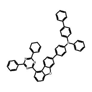 C1=CC(c2nc(-c3ccccc3)nc(-c3cccc4oc5cc(-c6ccc(N(c7ccccc7)c7ccc(-c8ccccc8)cc7)cc6)ccc5c34)n2)=CCC1